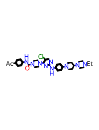 CCN1CCN(C2CCN(c3ccc(Nc4ncc(Cl)c(N5CCN(C(=O)Nc6ccc(C(C)=O)cc6)CC5)n4)cc3)CC2)CC1